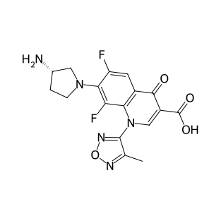 Cc1nonc1-n1cc(C(=O)O)c(=O)c2cc(F)c(N3CC[C@H](N)C3)c(F)c21